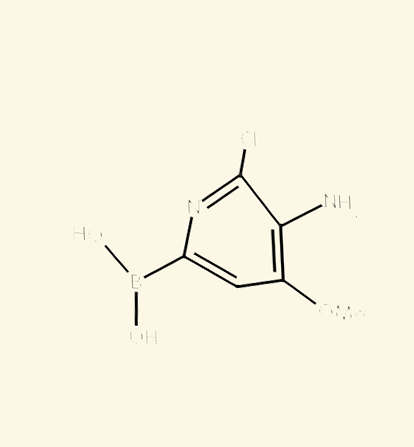 COc1cc(B(O)O)nc(Cl)c1N